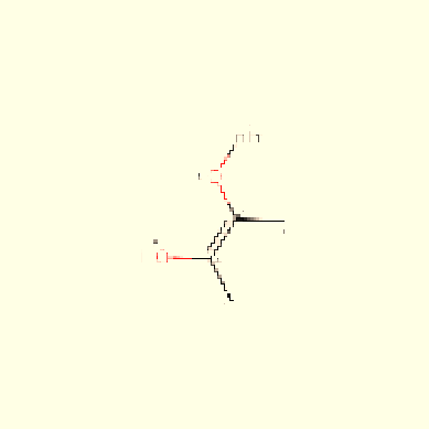 CCCO/C(C)=C(/C)O